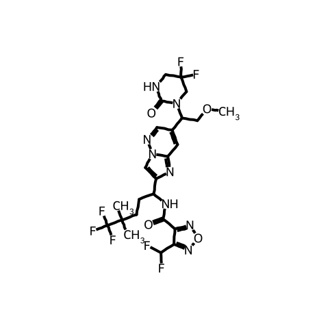 COCC(c1cnn2cc(C(CCC(C)(C)C(F)(F)F)NC(=O)c3nonc3C(F)F)nc2c1)N1CC(F)(F)CNC1=O